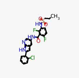 CCCS(=O)(=O)Nc1ccc(F)c(C(=O)Nc2cnc3[nH]c(-c4ccccc4Cl)cc3c2)c1F